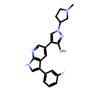 COc1nn(C2CCN(C)C2)cc1-c1cnc2[nH]cc(-c3cccc(F)c3)c2c1